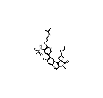 CCO[C@H]1C[C@]2(C1)C(=O)N(C)c1cnc3cc(F)c(-c4cnc(OCCNC(C)C)c(NS(C)(=O)=O)c4)cc3c12